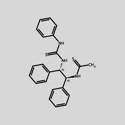 CC(=S)N[C@@H](c1ccccc1)[C@@H](NC(=S)Nc1ccccc1)c1ccccc1